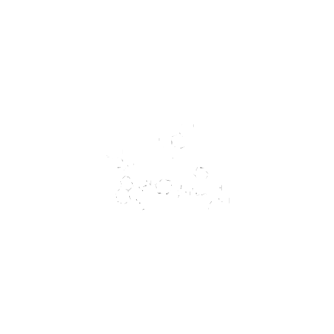 CCC(C)(C)c1ccc(OCCCCC2(NS(=O)(=O)c3ccc(/N=N/c4cc(S(=O)(=O)NC(C)(C)C)c(O)c5cccc(NS(C)(=O)=O)c45)cc3)C(C)=C(C(N)=O)C(O)c3ccccc32)c(C(C)(C)CC)c1